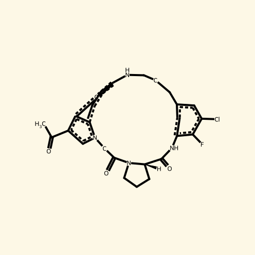 CC(=O)c1cn2c3ccc(cc13)NCCCc1cc(Cl)c(F)c(c1)NC(=O)[C@@H]1CCCN1C(=O)C2